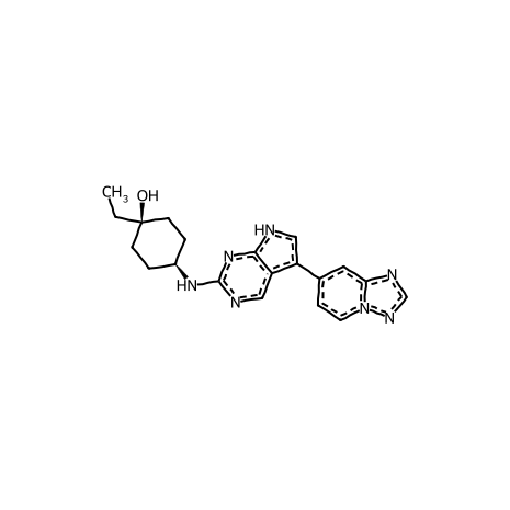 CC[C@]1(O)CC[C@@H](Nc2ncc3c(-c4ccn5ncnc5c4)c[nH]c3n2)CC1